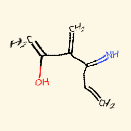 C=CC(=N)C(=C)C(=C)O